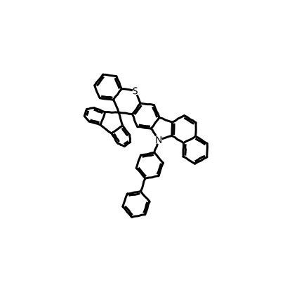 c1ccc(-c2ccc(-n3c4cc5c(cc4c4ccc6ccccc6c43)Sc3ccccc3C53c4ccccc4-c4ccccc43)cc2)cc1